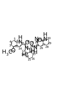 COc1cccc2[nH]c(C(=O)N3C[C@@H]4CCCC[C@@H]4[C@H]3C(=O)NC(C#N)C[C@@H]3CCCNC3=O)cc12